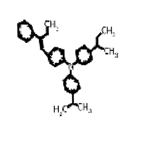 CC/C(=C\c1ccc(N(c2ccc(C(C)C)cc2)c2ccc(C(C)CC)cc2)cc1)c1ccccc1